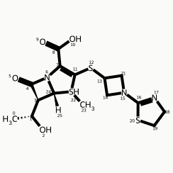 C[C@@H](O)[C@H]1C(=O)N2C(C(=O)O)=C(SC3CN(C4=NCCS4)C3)[SH](C)[C@H]12